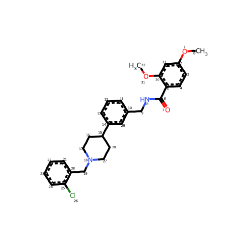 COc1ccc(C(=O)NCc2cccc(C3CCN(Cc4ccccc4Cl)CC3)c2)c(OC)c1